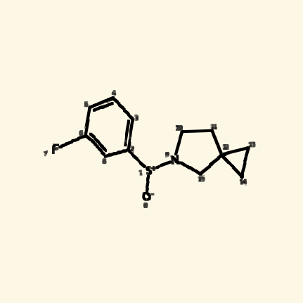 [O-][S+](c1cccc(F)c1)N1CCC2(CC2)C1